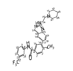 Cc1ccc(C(=O)Nc2cccc(C(F)(F)F)c2)cc1-c1ccc2nc(NCCN3CCCCC3)ncc2c1